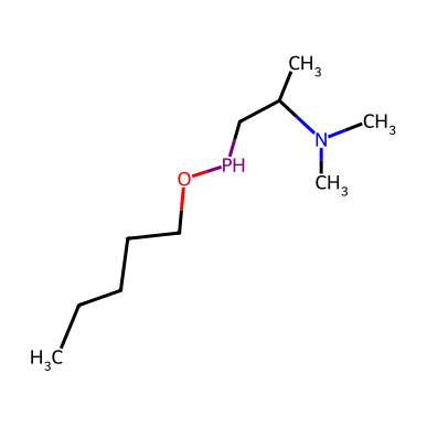 CCCCCOPCC(C)N(C)C